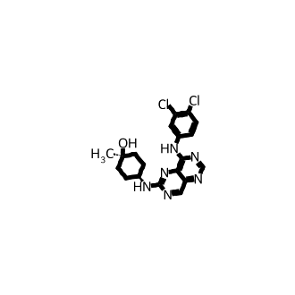 C[C@]1(O)CC[C@@H](Nc2ncc3ncnc(Nc4ccc(Cl)c(Cl)c4)c3n2)CC1